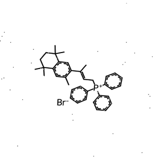 CC(=CC[P+](c1ccccc1)(c1ccccc1)c1ccccc1)c1cc2c(cc1C)C(C)(C)CCC2(C)C.[Br-]